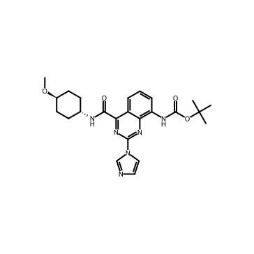 CO[C@H]1CC[C@H](NC(=O)c2nc(-n3ccnc3)nc3c(NC(=O)OC(C)(C)C)cccc23)CC1